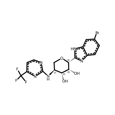 O[C@@H]1[C@H](O)[C@@H](Nc2nccc(C(F)(F)F)n2)CO[C@@H]1c1nc2ccc(Br)cc2[nH]1